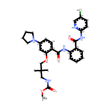 CC(C)(CNC(=O)OC(C)(C)C)COc1cc(N2CCCC2)ccc1C(=O)Nc1ccccc1C(=O)Nc1ccc(Cl)cn1